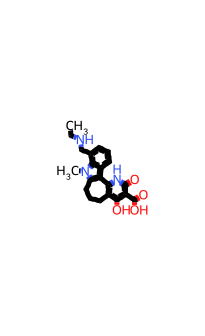 CCNCc1cccc2c3c(n(C)c12)CCCc1c-3[nH]c(=O)c(C(=O)O)c1O